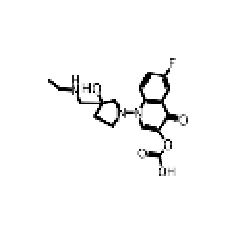 CCNCC1(O)CCN(n2cc(OC(=O)O)c(=O)c3cc(F)ccc32)C1